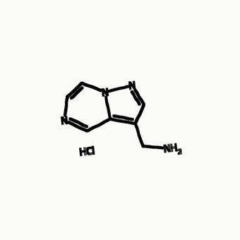 Cl.NCc1cnn2ccncc12